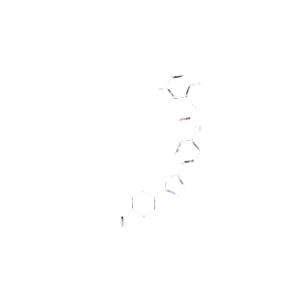 Cc1ccc(F)c(NC(=O)Nc2ccc(-c3cnc(C4CCC(C(=O)O)CC4)s3)cc2)c1